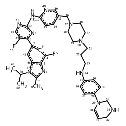 Cc1nc2c(F)cc(-c3nc(Nc4ccc(CN5CCN(CCCNc6ccc(N7C=CCNC7)cc6)CC5)cn4)ncc3F)cc2n1C(C)C